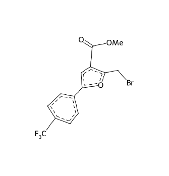 COC(=O)c1cc(-c2ccc(C(F)(F)F)cc2)oc1CBr